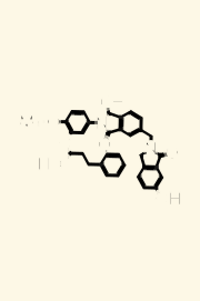 COc1ccc(N2C(=O)c3cc(CN4Cc5ccc(O)cc5C4=O)ccc3C2C)cc1OC(C)CCc1ccccc1